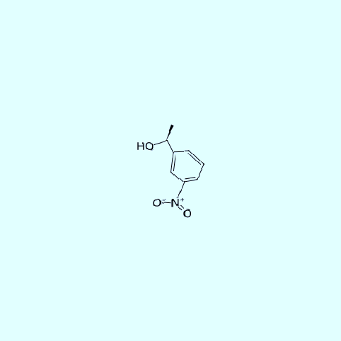 C[C@H](O)c1cccc([N+](=O)[O-])c1